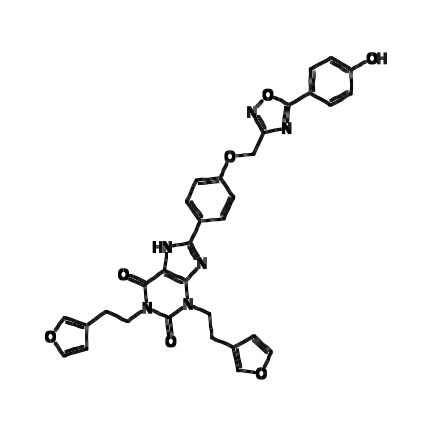 O=c1c2[nH]c(-c3ccc(OCc4noc(-c5ccc(O)cc5)n4)cc3)nc2n(CCc2ccoc2)c(=O)n1CCc1ccoc1